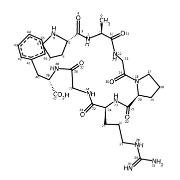 C[C@H](NC(=O)[C@@H]1CCCN1)C(=O)NCC(=O)N1CCC[C@H]1C(=O)N[C@@H](CCCNC(=N)N)C(=O)NCC(=O)N[C@@H](Cc1ccccc1)C(=O)O